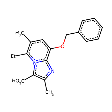 CCc1c(C)cc(OCc2ccccc2)c2nc(C)c(C(=O)O)n12